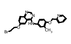 Cc1cc(Nc2ncnc3ccc(OCCBr)cc23)ccc1OCc1ccccn1